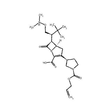 C=CCOC(=O)N1CC[C@H](C2=C(C(=O)O)N3C(=O)[C@@H]([C@@H](CO[SiH](C)C)C(C)(C)C)[C@H]3C2)C1